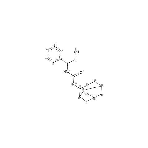 O=C(NC(CO)c1ccccc1)NC1C2CC3CC(C2)CC1C3